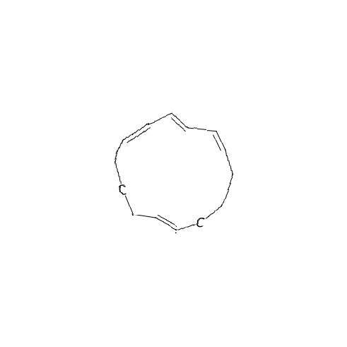 [C]1=C/CCC\C=C/C=C/C=C\CCC/1